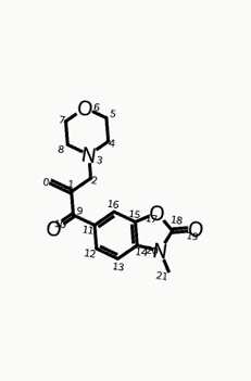 C=C(CN1CCOCC1)C(=O)c1ccc2c(c1)oc(=O)n2C